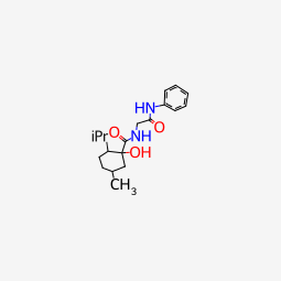 CC1CCC(C(C)C)C(O)(C(=O)NCC(=O)Nc2ccccc2)C1